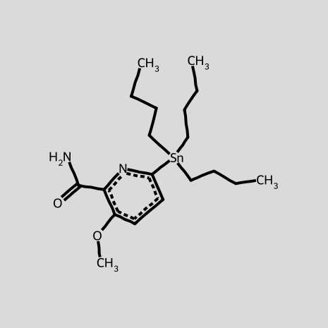 CCC[CH2][Sn]([CH2]CCC)([CH2]CCC)[c]1ccc(OC)c(C(N)=O)n1